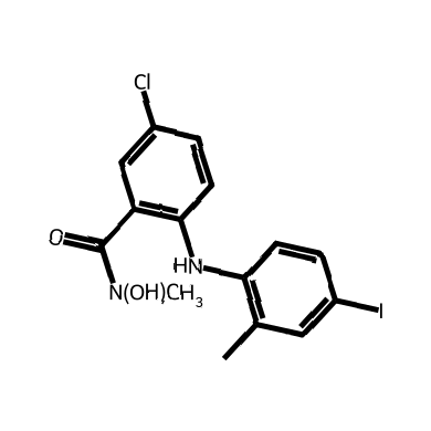 Cc1cc(I)ccc1Nc1ccc(Cl)cc1C(=O)N(C)O